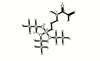 C=C(C)C(=O)N(C)CCC[Si](O[Si](C)(C)[Si](C)(C)C)(O[Si](C)(C)[Si](C)(C)C)O[Si](C)(C)[Si](C)(C)C